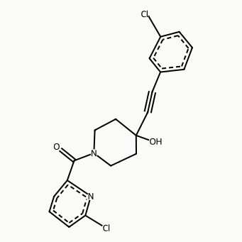 O=C(c1cccc(Cl)n1)N1CCC(O)(C#Cc2cccc(Cl)c2)CC1